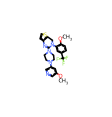 COc1cncc(N2CCN(C3=Nc4ccsc4CN3c3cc(C(F)(F)F)ccc3OC)CC2)c1